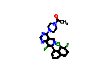 CC(=O)N1CCN(c2ncnc3c(F)c(-c4cccc5ccc(F)c(Cl)c45)ncc23)CC1